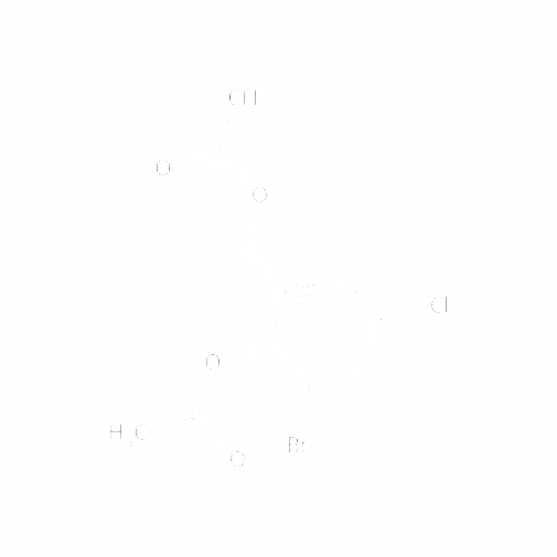 CC(=O)OCc1cc(Cl)cc(Br)c1OC(C)=O